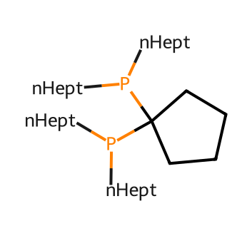 CCCCCCCP(CCCCCCC)C1(P(CCCCCCC)CCCCCCC)CCCC1